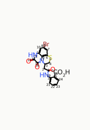 O=C(CC1CSc2cc(Br)cc3[nH]c(=O)c(=O)n1c23)Nc1ccccc1C(=O)O